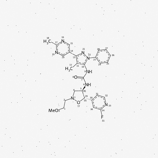 COCCN1C[C@@H](NC(=O)Nc2c(C)c(-c3cnc(C)nc3)nn2-c2ccccc2)[C@H](c2ccnc(F)c2)O1